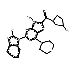 CCc1nc2ccccc2n1-c1nc(N2CCOCC2)c2nc(C(=O)N3CCC(C(F)(F)F)C3)n(C)c2n1